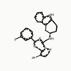 CC(C)c1cnn2c(N[C@@H]3CCc4[nH]c5ccccc5c4C3)nc(-c3cccc(F)c3)nc12